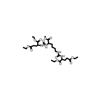 CCOC(=O)CCC(NC(=O)NCCCCC(NC(=O)NC(CCC(=O)OCC)C(=O)OCC)C(=O)OC)C(=O)OCC